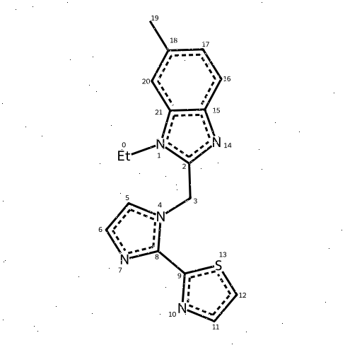 CCn1c(Cn2ccnc2-c2nccs2)nc2ccc(C)cc21